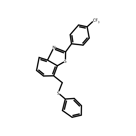 FC(F)(F)c1ccc(-c2nc3cccc(CSc4ccccc4)c3s2)cc1